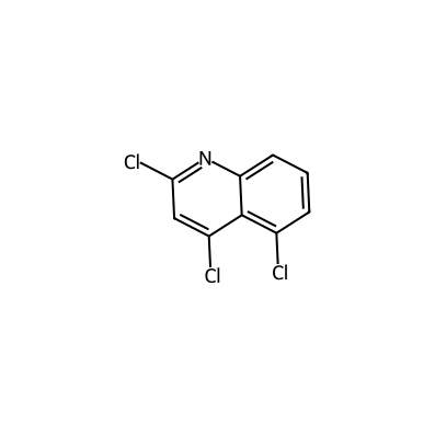 Clc1cc(Cl)c2c(Cl)cccc2n1